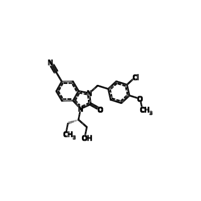 CC[C@@H](CO)n1c(=O)n(Cc2ccc(OC)c(Cl)c2)c2cc(C#N)ccc21